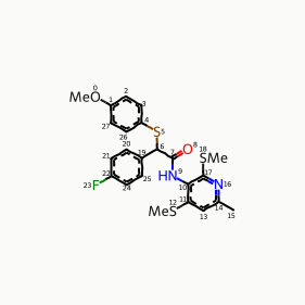 COc1ccc(SC(C(=O)Nc2c(SC)cc(C)nc2SC)c2ccc(F)cc2)cc1